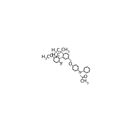 COc1ccc(F)c(-c2cc(COc3ccc([C@@H](CC(C)=O)c4ccccc4)cc3)ccc2C(C)(C)C)c1